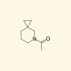 CC(=O)N1CCCC2(CC2)C1